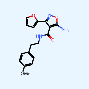 COc1ccc(CCNC(=O)c2c(-c3ccco3)noc2N)cc1